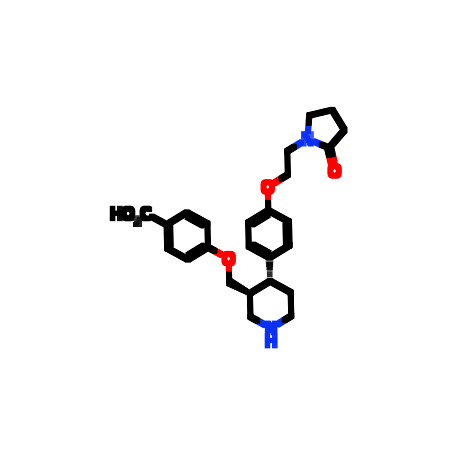 O=C(O)c1ccc(OC[C@@H]2CNCC[C@H]2c2ccc(OCCN3CCCC3=O)cc2)cc1